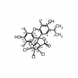 CC(C)c1cc2c(c(I)c1O)Oc1c(cc(I)c(O)c1I)C21OC(=O)c2c(Cl)c(Cl)c(Cl)c(Cl)c21